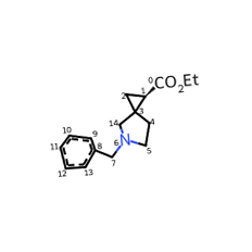 CCOC(=O)[C@@H]1CC12CCN(Cc1ccccc1)C2